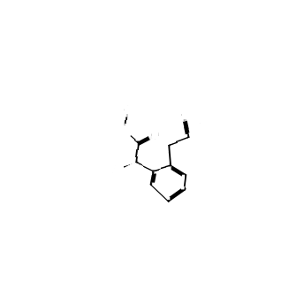 C=CCc1ccccc1[C@@H](C)C(=O)OC